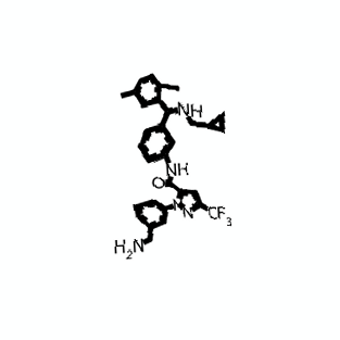 Cc1ccc(C)c(C(NCC2CC2)c2cccc(NC(=O)c3cc(C(F)(F)F)nn3-c3cccc(CN)c3)c2)c1